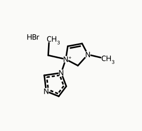 Br.CC[N+]1(n2ccnc2)C=CN(C)C1